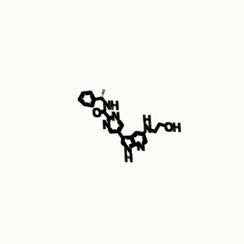 C[C@H](NC(=O)c1ncc(-c2c[nH]c3ncc(NCCO)cc23)cn1)c1ccccc1